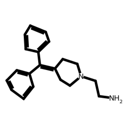 NCCN1CCC(=C(c2ccccc2)c2ccccc2)CC1